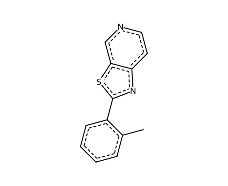 Cc1ccccc1-c1nc2ccncc2s1